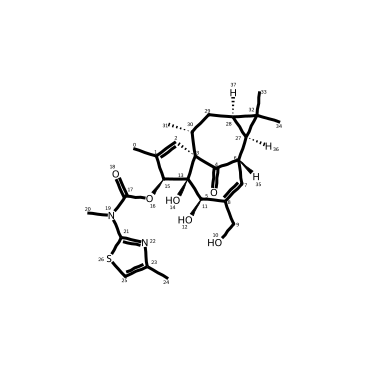 CC1=C[C@]23C(=O)[C@@H](C=C(CO)[C@@H](O)[C@]2(O)[C@H]1OC(=O)N(C)c1nc(C)cs1)[C@H]1[C@@H](C[C@H]3C)C1(C)C